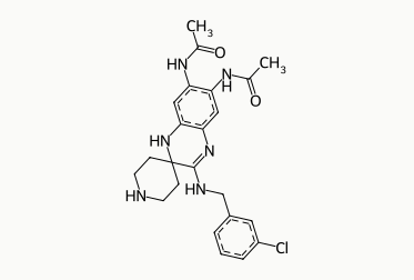 CC(=O)Nc1cc2c(cc1NC(C)=O)NC1(CCNCC1)C(NCc1cccc(Cl)c1)=N2